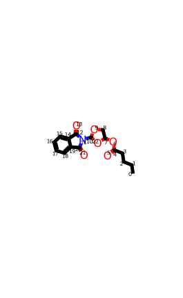 CCCCC(=O)OC1COC(N2C(=O)c3ccccc3C2=O)O1